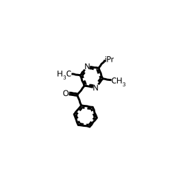 Cc1nc(C(C)C)c(C)nc1C(=O)c1ccccc1